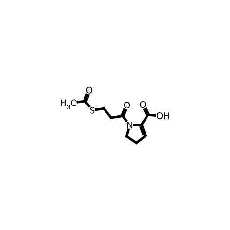 CC(=O)SCCC(=O)N1CCC=C1C(=O)O